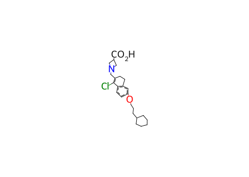 O=C(O)C1CN(CC2=C(Cl)c3ccc(OCCCC4CCCCC4)cc3CC2)C1